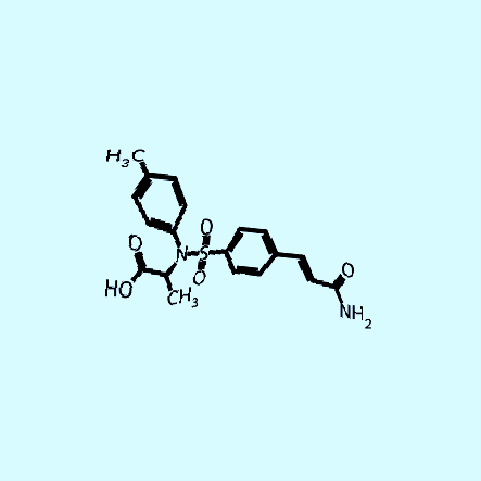 Cc1ccc(N(C(C)C(=O)O)S(=O)(=O)c2ccc(C=CC(N)=O)cc2)cc1